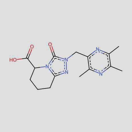 Cc1nc(C)c(Cn2nc3n(c2=O)C(C(=O)O)CCC3)nc1C